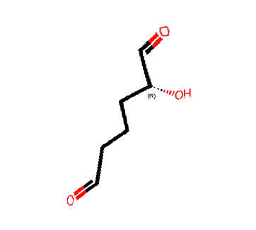 O=CCCC[C@@H](O)C=O